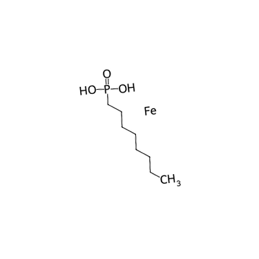 CCCCCCCCP(=O)(O)O.[Fe]